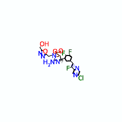 C[C@@]1(c2cc(/C=C(\F)c3cnc(Cl)cn3)cc(F)c2F)CS(=O)(=O)N(CCc2nnc(CO)o2)C(N)=N1